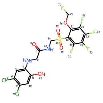 O=C(CNc1cc(Cl)c(Cl)cc1O)NCS(=O)(=O)c1c(F)c(F)c(F)c(F)c1OCF